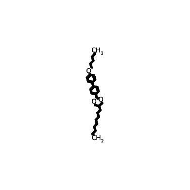 C=CCCCCCCCC1COC(c2ccc(-c3ccc(OCCCCCC)cc3)cc2)OC1